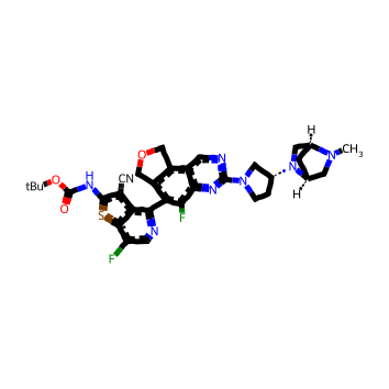 CN1C[C@@H]2C[C@H]1CN2[C@@H]1CCN(c2ncc3c4c(c(-c5ncc(F)c6sc(NC(=O)OC(C)(C)C)c(C#N)c56)c(F)c3n2)COC4)C1